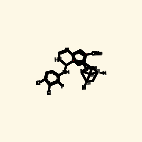 C=CC(=O)N1C[C@H]2C[C@@H](C1)[C@@H]2Nc1cc2c(cc1OC)N=CNC2Nc1ccc(Cl)c(Cl)c1F